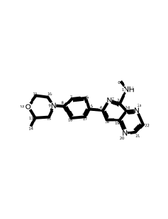 CNc1nc(-c2ccc(N3CCOC(C)C3)cc2)cc2nccnc12